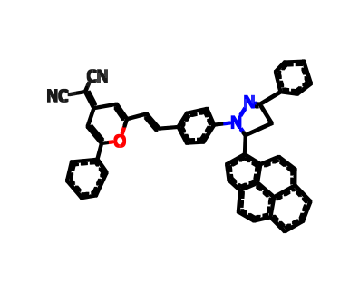 N#CC(C#N)=C1C=C(C=Cc2ccc(N3N=C(c4ccccc4)CC3c3ccc4ccc5cccc6ccc3c4c56)cc2)OC(c2ccccc2)=C1